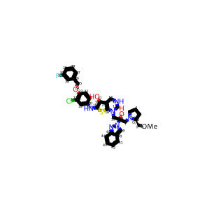 COC[C@@H]1CCCN1CC(O)(CN1CNCC2=C1SC(Nc1ccc(OCc3cccc(F)c3)c(Cl)c1)C2O)n1cc2ccccc2n1